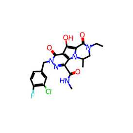 CCN1CC(C)n2c(c(O)c3c(=O)n(Cc4ccc(F)c(Cl)c4)nc(C(=O)NC)c32)C1=O